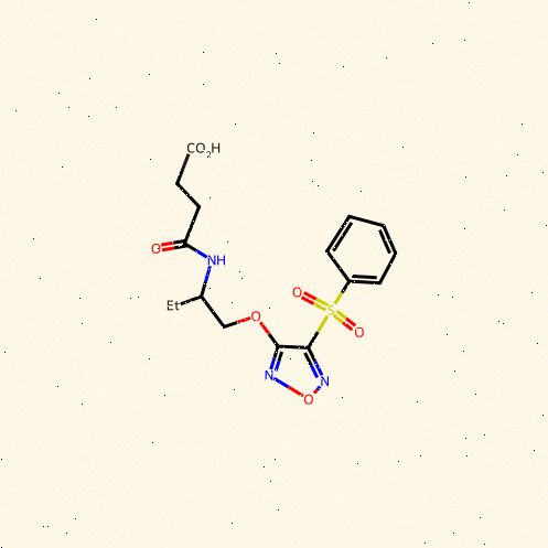 CCC(COc1nonc1S(=O)(=O)c1ccccc1)NC(=O)CCC(=O)O